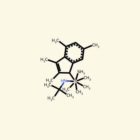 CC1=C(C)[CH]([Ti]([CH3])([CH3])([CH3])([CH3])([SiH3])[NH]C(C)(C)C)c2cc(C)cc(C)c21